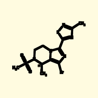 Cc1nsc(-c2nc(Br)c3n2CCN(S(C)(=O)=O)[C@@H]3C)n1